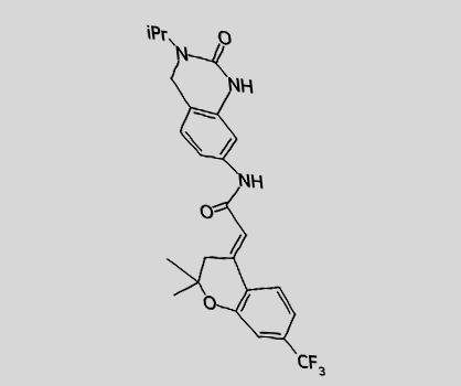 CC(C)N1Cc2ccc(NC(=O)/C=C3\CC(C)(C)Oc4cc(C(F)(F)F)ccc43)cc2NC1=O